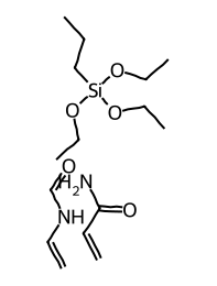 C=CC(N)=O.C=CNC=O.CCC[Si](OCC)(OCC)OCC